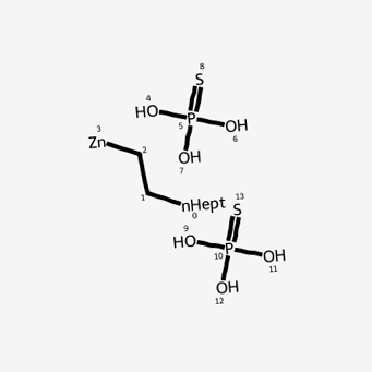 CCCCCCCC[CH2][Zn].OP(O)(O)=S.OP(O)(O)=S